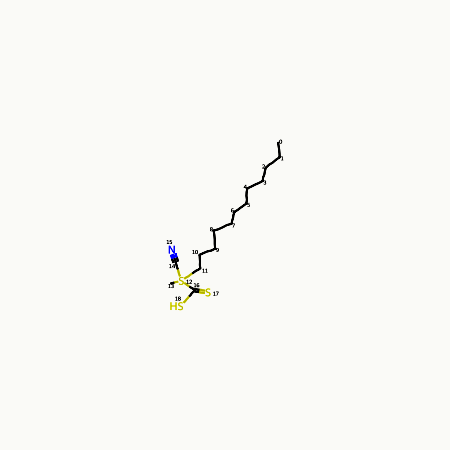 CCCCCCCCCCCCS(C)(C#N)C(=S)S